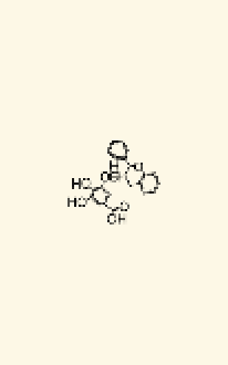 O=C(O)c1cc(O)c(O)c(O)c1.OC1Cc2ccccc2OC1c1ccccc1